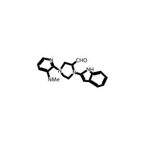 CNc1cccnc1N1CCN(c2cc3ccccc3[nH]2)C(C=O)C1